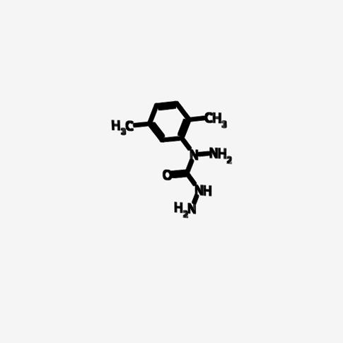 Cc1ccc(C)c(N(N)C(=O)NN)c1